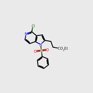 CCOC(=O)CCc1cc2c(Cl)nccc2n1S(=O)(=O)c1ccccc1